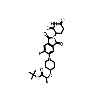 CC(OC1CCN(c2cc3c(cc2F)C(=O)N(C2CCC(=O)NC2=O)C3=O)CC1)C(=O)OC(C)(C)C